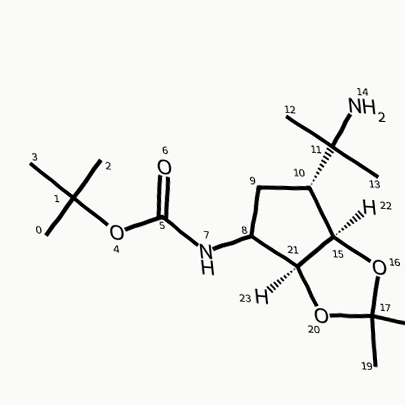 CC(C)(C)OC(=O)NC1C[C@H](C(C)(C)N)[C@H]2OC(C)(C)O[C@@H]12